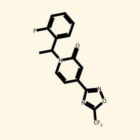 CC(c1ccccc1F)n1ccc(-c2noc(C(F)(F)F)n2)cc1=O